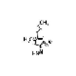 CCCCc1cc(N=O)c(N=N)cc1C